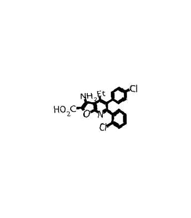 CCc1c(-c2ccc(Cl)cc2)c(-c2ccccc2Cl)nc2oc(C(=O)O)c(N)c12